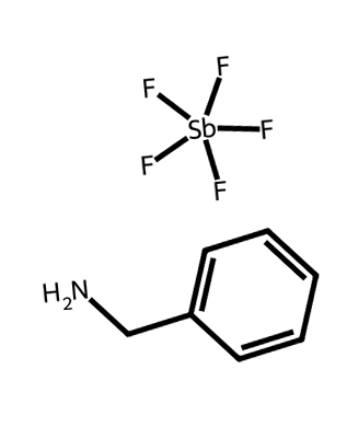 NCc1ccccc1.[F][Sb]([F])([F])([F])[F]